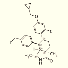 C[C@H]1NC(=O)[C@]2(C)CC[C@@H](c3ccc(OCC4CC4)cc3Cl)[C@H](c3ccc(CI)cc3)[C@H]12